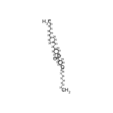 C=CCCCCCCCCOc1ccc(C(=O)Oc2ccc(CCC3CCC(CCCCCCC)CC3)cc2)cc1